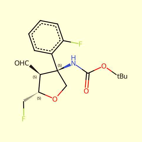 CC(C)(C)OC(=O)N[C@@]1(c2ccccc2F)CO[C@H](CF)[C@H]1C=O